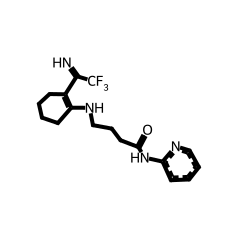 N=C(C1=C(NCCCC(=O)Nc2ccccn2)CCCC1)C(F)(F)F